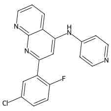 Fc1ccc(Cl)cc1-c1cc(Nc2ccncc2)c2cccnc2n1